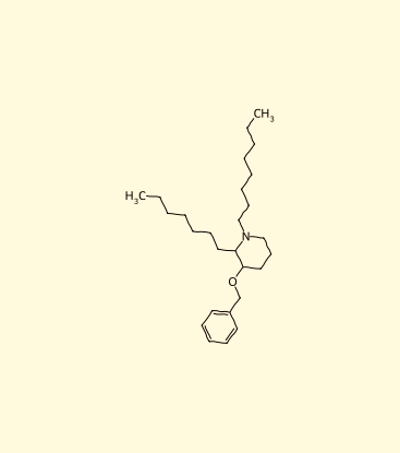 CCCCCCCCN1CCCC(OCc2ccccc2)C1CCCCCCC